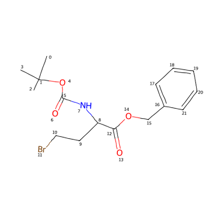 CC(C)(C)OC(=O)NC(CCBr)C(=O)OCc1ccccc1